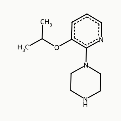 CC(C)Oc1cccnc1N1CCNCC1